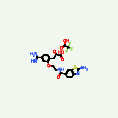 N=C(N)c1ccc(CC(=O)C(=O)O)c(OCCNC(=O)c2ccc3nc(N)sc3c2)c1.O=C(O)C(F)(F)F